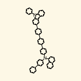 c1ccc(-c2ccc(N(c3ccc(-c4ccc(-c5ccc(-c6ccc7c(c6)c6ccccc6n7-c6ccccc6)cc5)cc4)cc3)c3cccc4ccccc34)cc2)cc1